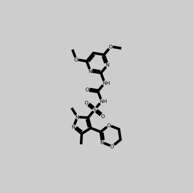 COc1cc(OC)nc(NC(=O)NS(=O)(=O)c2c(C3=NOCCO3)c(C)nn2C)n1